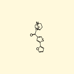 O=C(c1csc(-c2ccco2)c1)N1CCN2CCC1CC2